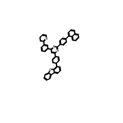 C1=CN=C(c2cccc(-c3cc(C4=CCC(c5cccc6c5oc5ccccc56)C=C4)nc(-c4ccc(-c5cccc6ccccc56)cc4)n3)c2)CC1